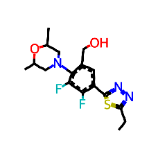 CCc1nnc(-c2cc(CO)c(N3CC(C)OC(C)C3)c(F)c2F)s1